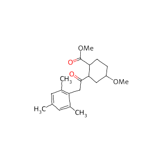 COC(=O)C1CCC(OC)CC1C(=O)Cc1c(C)cc(C)cc1C